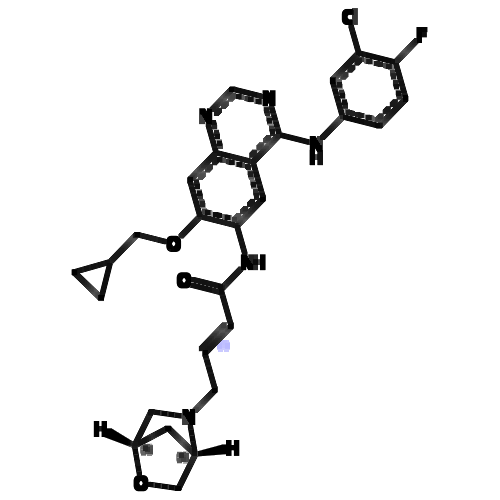 O=C(/C=C/CN1C[C@@H]2C[C@H]1CO2)Nc1cc2c(Nc3ccc(F)c(Cl)c3)ncnc2cc1OCC1CC1